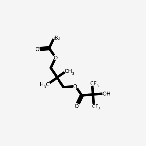 CCC(C)C(=O)OCC(C)(C)COC(=O)C(O)(C(F)(F)F)C(F)(F)F